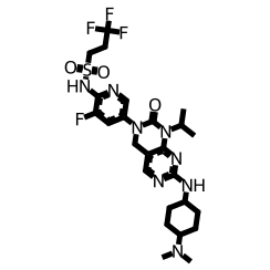 CC(C)N1C(=O)N(c2cnc(NS(=O)(=O)CCC(F)(F)F)c(F)c2)Cc2cnc(NC3CCC(N(C)C)CC3)nc21